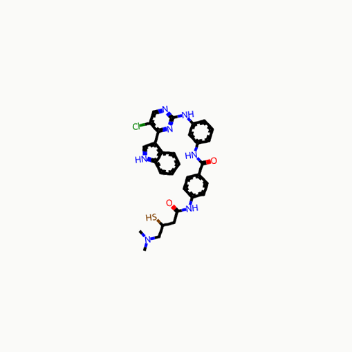 CN(C)CC(S)CC(=O)Nc1ccc(C(=O)Nc2cccc(Nc3ncc(Cl)c(-c4c[nH]c5ccccc45)n3)c2)cc1